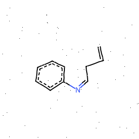 C=CC/C=N\c1ccccc1